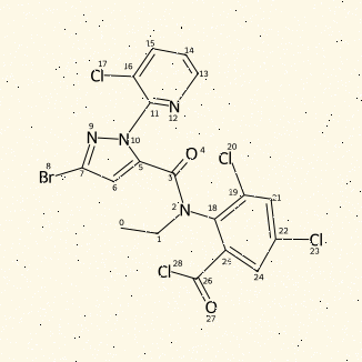 CCN(C(=O)c1cc(Br)nn1-c1ncccc1Cl)c1c(Cl)cc(Cl)cc1C(=O)Cl